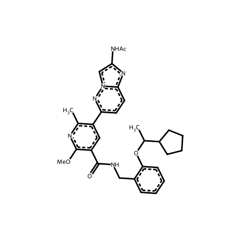 COc1nc(C)c(-c2ccc3nc(NC(C)=O)cn3n2)cc1C(=O)NCc1ccccc1OC(C)C1CCCC1